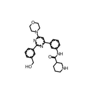 O=C(Nc1cccc(-c2cc(N3CCOCC3)nc(-c3cccc(CO)c3)n2)c1)C1CCCNC1